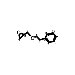 [c]1ccc(CCOCC2CO2)cc1